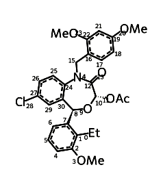 CCc1c(OC)cccc1[C@@H]1O[C@@H](OC(C)=O)C(=O)N(Cc2ccc(OC)cc2OC)c2ccc(Cl)cc21